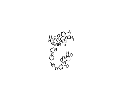 COc1cc(OC2C(C)(C)C(NC(=O)c3cnc(N4CCC(CN5CC(Oc6ccc7c(c6)C(=O)N(C6CCC(=O)NC6=O)C7=O)C5)CC4)cn3)C2(C)C)ccc1C#N